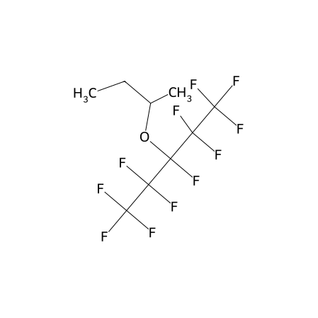 CCC(C)OC(F)(C(F)(F)C(F)(F)F)C(F)(F)C(F)(F)F